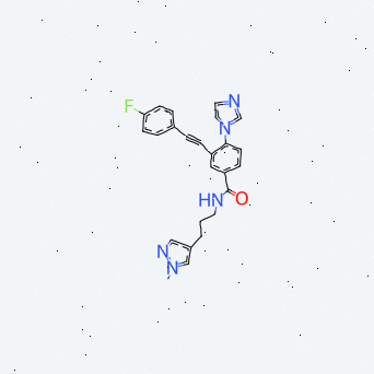 Cn1cc(CCCNC(=O)c2ccc(-n3ccnc3)c(C#Cc3ccc(F)cc3)c2)cn1